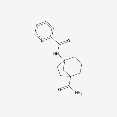 NC(=O)C12CCCC(NC(=O)c3ccccn3)(CC1)C2